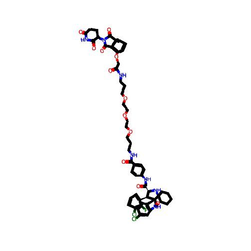 O=C(COc1cccc2c1C(=O)N(C1CCC(=O)NC1=O)C2=O)NCCCOCCOCCOCCCNC(=O)c1ccc(NC(=O)[C@@H]2NC3(CCCCC3)C3(C(=O)Nc4cc(Cl)ccc43)[C@H]2c2cccc(Cl)c2F)cc1